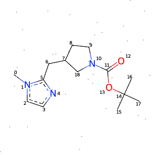 Cn1ccnc1CC1CCN(C(=O)OC(C)(C)C)C1